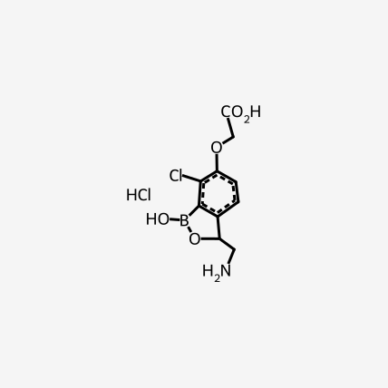 Cl.NCC1OB(O)c2c1ccc(OCC(=O)O)c2Cl